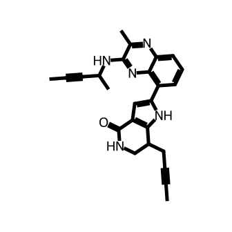 CC#CCC1CNC(=O)c2cc(-c3cccc4nc(C)c(NC(C)C#CC)nc34)[nH]c21